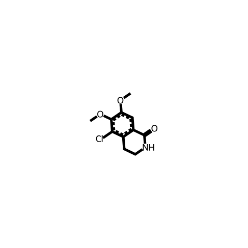 COc1cc2c(c(Cl)c1OC)CCNC2=O